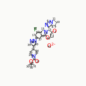 [Li][C](=O)C(c1ncn2c1CCC2)N1Cc2c(F)cc(-n3cc(C4CCN(C(=O)OC(C)(C)C)CC4)cn3)cc2C1=O.[O-2]